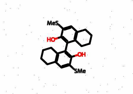 CSc1cc2c(c(-c3c(O)c(SC)cc4c3CCCC4)c1O)CCCC2